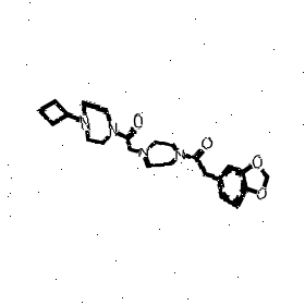 O=C(Cc1ccc2c(c1)OCO2)N1CCN(CC(=O)N2CCN(C3CCC3)CC2)CC1